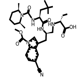 CC[C@@H](NC[C@@H](Cc1cn(C(=O)OC)c2ccc(C#N)cc12)NC(=O)[C@H](CC(C)(C)C)NC(=O)N1[C@H](C)CCC[C@@H]1C)C(=O)O